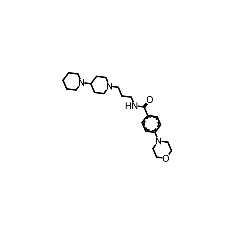 O=C(NCCCN1CCC(N2CCCCC2)CC1)c1ccc(N2CCOCC2)cc1